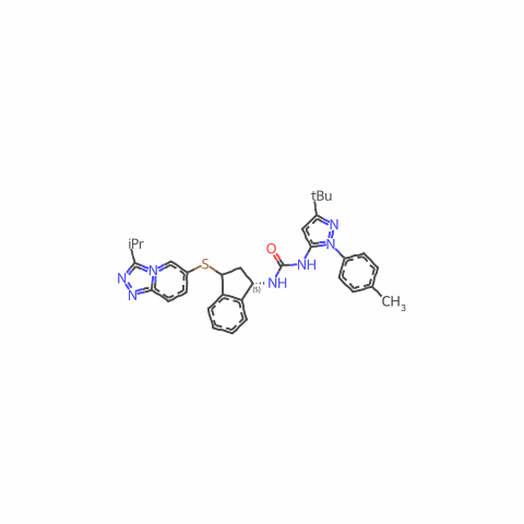 Cc1ccc(-n2nc(C(C)(C)C)cc2NC(=O)N[C@H]2CC(Sc3ccc4nnc(C(C)C)n4c3)c3ccccc32)cc1